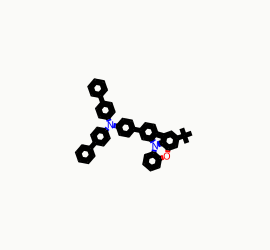 CC(C)(C)c1cc2c3c(c1)c1ccc(-c4ccc(N(c5ccc(-c6ccccc6)cc5)c5ccc(-c6ccccc6)cc5)cc4)cc1n3-c1ccccc1O2